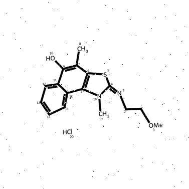 COCCN=c1sc2c(C)c(O)c3ccccc3c2n1C.Cl